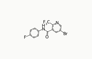 O=C(Nc1ccc(F)cc1)c1cc(Br)cnc1C(F)(F)F